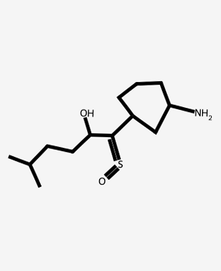 CC(C)CCC(O)C(=S=O)C1CCCC(N)C1